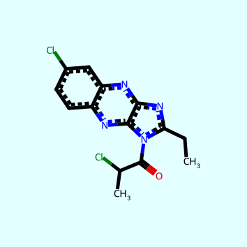 CCc1nc2nc3cc(Cl)ccc3nc2n1C(=O)C(C)Cl